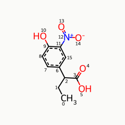 CCC(C(=O)O)c1ccc(O)c([N+](=O)[O-])c1